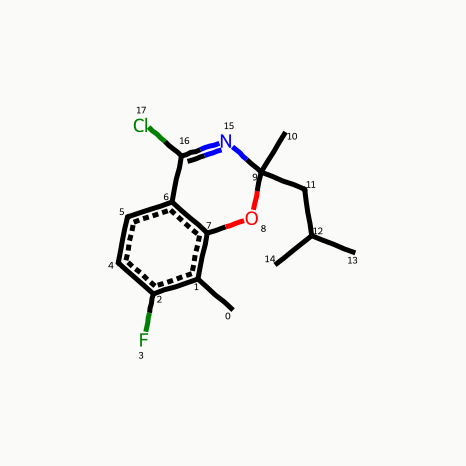 Cc1c(F)ccc2c1OC(C)(CC(C)C)N=C2Cl